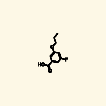 CCCOc1cc(F)cc(C(=O)O)c1